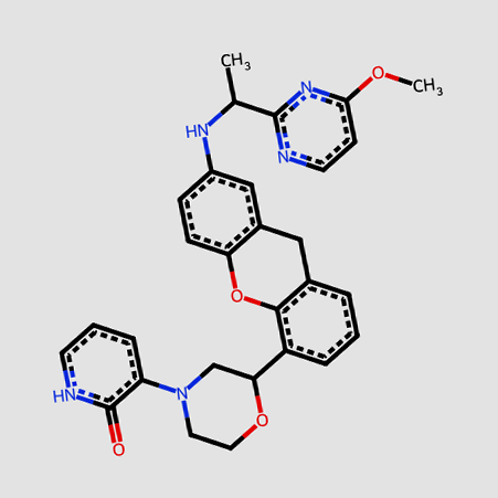 COc1ccnc(C(C)Nc2ccc3c(c2)Cc2cccc(C4CN(c5ccc[nH]c5=O)CCO4)c2O3)n1